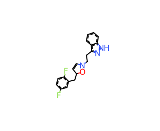 Fc1ccc(F)c(CC2C=CN(CCc3n[nH]c4ccccc34)O2)c1